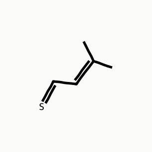 CC(C)=CC=S